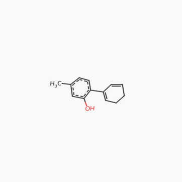 Cc1ccc(C2=CCCC=C2)c(O)c1